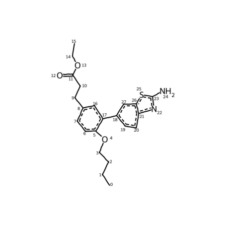 CCCCOc1ccc(CCC(=O)OCC)cc1-c1ccc2nc(N)sc2c1